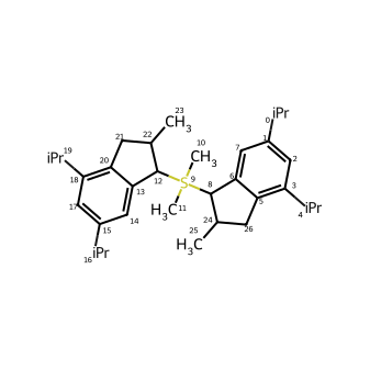 CC(C)c1cc(C(C)C)c2c(c1)C(S(C)(C)C1c3cc(C(C)C)cc(C(C)C)c3CC1C)C(C)C2